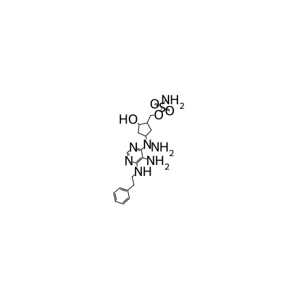 Nc1c(NCCc2ccccc2)ncnc1N(N)C1CC(O)C(COS(N)(=O)=O)C1